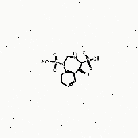 O=C1C2=C(CCC=C2)N(S(=O)(=O)O)CNC1S(=O)(=O)O